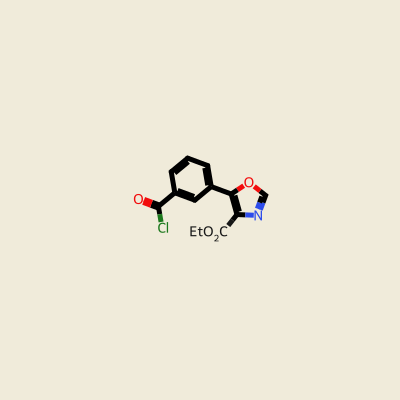 CCOC(=O)c1ncoc1-c1cccc(C(=O)Cl)c1